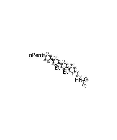 C=CC(=O)NCCCc1ccc(-c2ccc(-c3ccc(-c4ccc(CCCCC)cc4)cc3CC)cc2CC)cc1